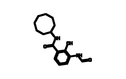 O=CNc1cccc(C(=O)NC2CCCCCCC2)c1O